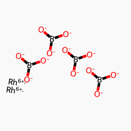 [O-]B([O-])[O-].[O-]B([O-])[O-].[O-]B([O-])[O-].[O-]B([O-])[O-].[Rh+6].[Rh+6]